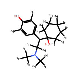 [2H]c1cc(C(C([2H])([2H])N(C([2H])([2H])[2H])C([2H])([2H])[2H])C2(O)C([2H])([2H])C([2H])([2H])C([2H])([2H])C([2H])([2H])C2([2H])[2H])cc([2H])c1O